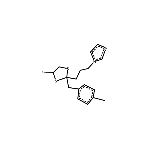 CCC1CSC(CCCn2ccnc2)(Cc2ccc(C)cc2)S1